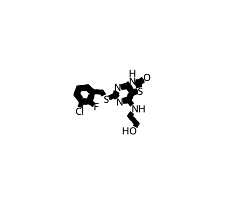 O=c1[nH]c2nc(SCc3cccc(Cl)c3F)nc(NCCO)c2s1